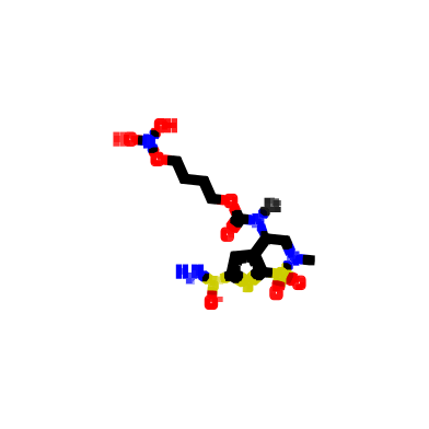 CCN(C(=O)OCCCCON(O)O)[C@H]1CN(C)S(=O)(=O)c2sc([S+](N)[O-])cc21